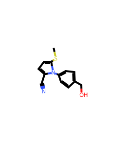 CSc1ccc(C#N)n1-c1ccc(CO)cc1